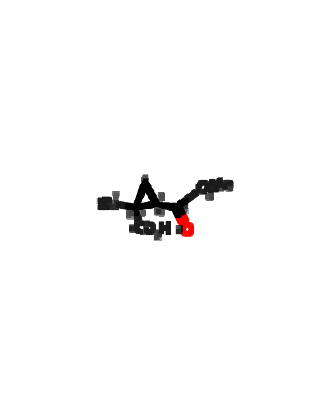 COC(=O)[C@@H]1C[C@@]1(C(=O)O)C(C)(C)C